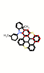 CC1C=C(N2C3C(c4cccc5c4C(C4c6ccccc6SC6CCCCC64)c4c(cccc4C4C=CC=CC4)S5)=CC=CC3C3(C)C=CC=CC23)CCC1